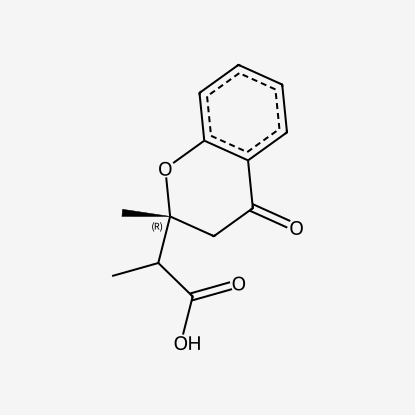 CC(C(=O)O)[C@@]1(C)CC(=O)c2ccccc2O1